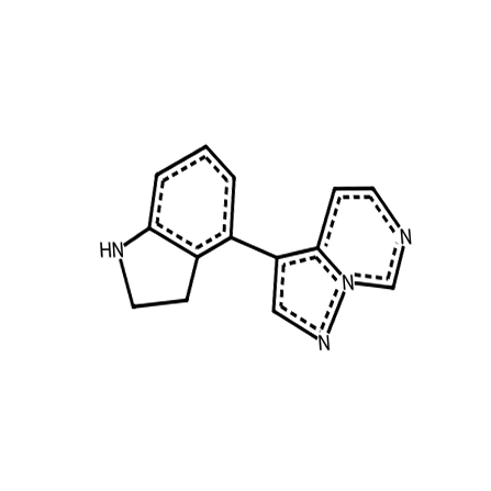 c1cc2c(c(-c3cnn4cnccc34)c1)CCN2